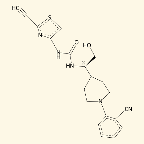 C#Cc1nc(NC(=O)N[C@@H](CO)C2CCN(c3ccccc3C#N)CC2)cs1